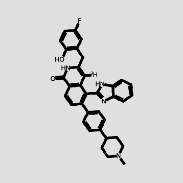 [2H]c1c(Cc2cc(F)ccc2O)[nH]c(=O)c2ccc(-c3ccc(C4CCN(C)CC4)cc3)c(-c3nc4ccccc4[nH]3)c12